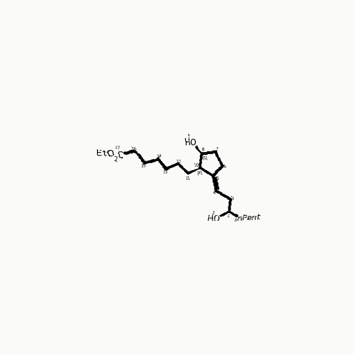 CCCCCC(O)CC=C1CC[C@H](O)[C@@H]1CCCCCCC(=O)OCC